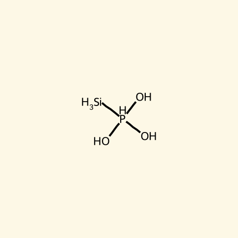 O[PH](O)(O)[SiH3]